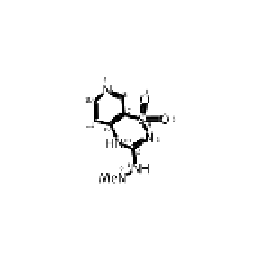 CNNC1=NS(=O)(=O)c2cnccc2N1